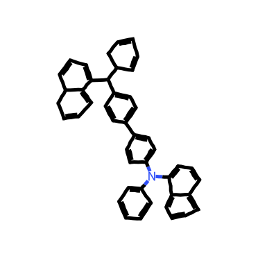 C1=CCC2C=CC=C(C(c3ccc(-c4ccc(N(c5ccccc5)c5cccc6ccccc56)cc4)cc3)C3C=CC=CC3)C2=C1